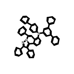 c1ccc(-c2ccc(N(c3cc(-c4ccccc4)cc(-c4ccccc4)c3)c3cccc4c3cc(-c3ccccc3)n3nc(-c5ccccc5)c(-c5ccccc5)c43)cc2)cc1